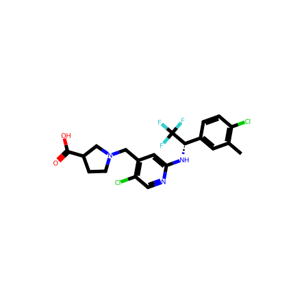 Cc1cc([C@H](Nc2cc(CN3CCC(C(=O)O)C3)c(Cl)cn2)C(F)(F)F)ccc1Cl